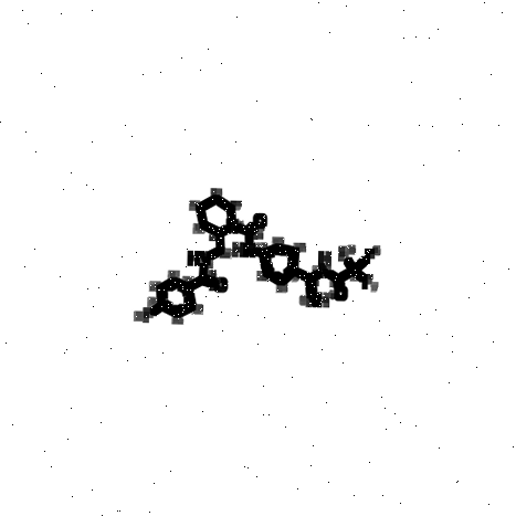 N=C(NC(=O)C(F)(F)F)c1ccc(NC(=O)N2CCCCC2CNC(=O)c2ccc(F)cc2)cc1